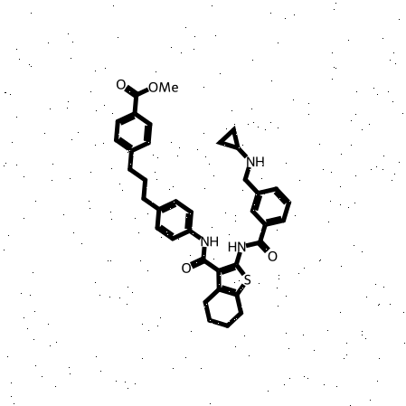 COC(=O)c1ccc(CCCc2ccc(NC(=O)c3c(NC(=O)c4cccc(CNC5CC5)c4)sc4c3CCCC4)cc2)cc1